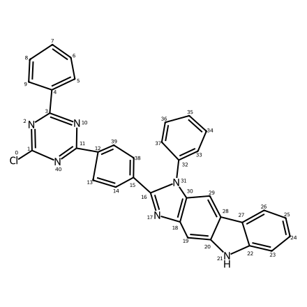 Clc1nc(-c2ccccc2)nc(-c2ccc(-c3nc4cc5[nH]c6ccccc6c5cc4n3-c3ccccc3)cc2)n1